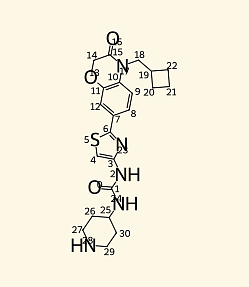 O=C(Nc1csc(-c2ccc3c(c2)OCC(=O)N3CC2CCC2)n1)NC1CCNCC1